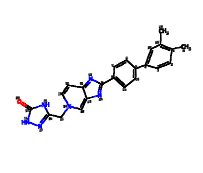 Cc1ccc(-c2ccc(-c3nc4ccn(Cc5n[nH]c(=O)[nH]5)cc-4n3)cc2)cc1C